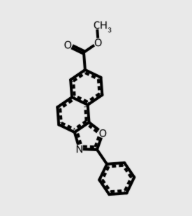 COC(=O)c1ccc2c(ccc3nc(-c4ccccc4)oc32)c1